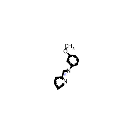 COc1cccc(/N=C/c2ccccn2)c1